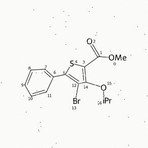 COC(=O)c1sc(-c2ccccc2)c(Br)c1OC(C)C